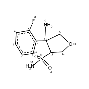 NC1(c2ccccc2F)COCC1S(N)(=O)=O